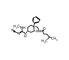 CN/C(=N\C#N)N[C@H]1CC[C@](CNC(=O)CCC(C)C)(c2ccccc2)CC1